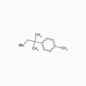 Cc1[c]cc(C(C)(C)CC(C)(C)C)cc1